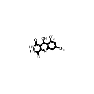 O=c1[nH][nH]c(=O)c2c(O)c3c(C(F)(F)F)cc(C(F)(F)F)cc3nc12